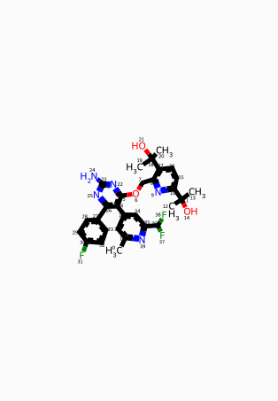 Cc1cc(-c2c(OCc3nc(C(C)(C)O)ccc3C(C)(C)O)nc(N)nc2-c2ccc(F)cc2)cc(C(F)F)n1